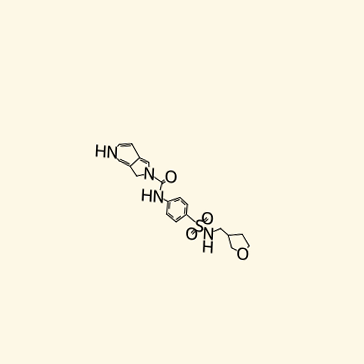 O=C(Nc1ccc(S(=O)(=O)NCC2CCOC2)cc1)N1C=C2C=CNC=C2C1